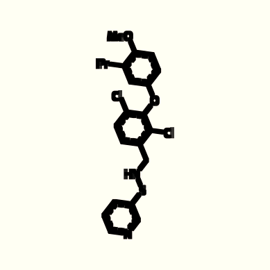 COc1ccc(Oc2c(Cl)ccc(CNSc3cccnc3)c2Cl)cc1C(C)C